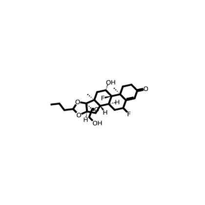 CCCC1O[C@@H]2C[C@H]3[C@@H]4CC(F)C5=CC(=O)CC[C@]5(C)[C@@]4(F)[C@@H](O)C[C@]3(C)[C@]2(C(=O)CO)O1